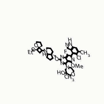 CCO[C@@H]1CC(N2CCC[C@@]3(COc4nc(N5CCOC[C@@](C)(O)C5)c5c(OC)nc(-c6c(Cl)c(C)cc7[nH]ncc67)c(F)c5n4)CCC[C@@H]23)[C@]12CCCO2